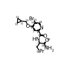 CC(C)CC(NC(=O)c1cc(OCC2CC2)c(Br)cn1)C(N)=O